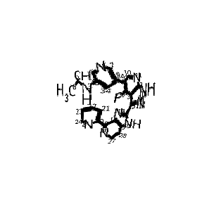 CC(C)Nc1cncc(-c2cnc3[nH]nc(-c4nc5c(-c6ccccn6)nccc5[nH]4)c3c2F)c1